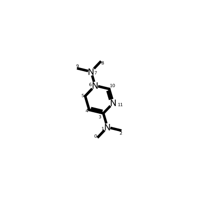 CN(C)C1=CCN(N(C)C)C=N1